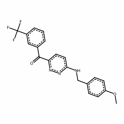 COc1ccc(CNc2ccc(C(=O)c3cccc(C(F)(F)F)c3)nn2)cc1